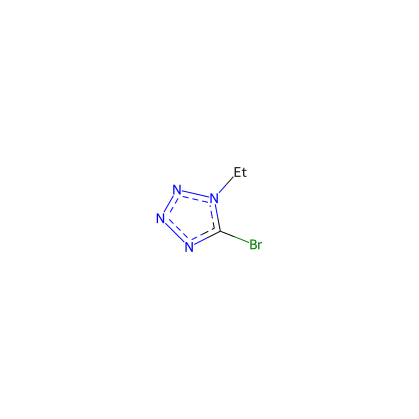 CCn1nnnc1Br